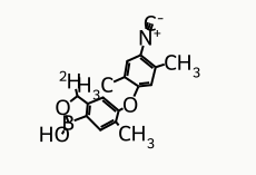 [2H]C1OB(O)c2cc(C)c(Oc3cc(C)c([N+]#[C-])cc3C)cc21